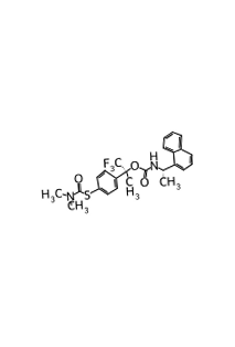 C[C@H](NC(=O)O[C@@](C)(c1ccc(SC(=O)N(C)C)cc1)C(F)(F)F)c1cccc2ccccc12